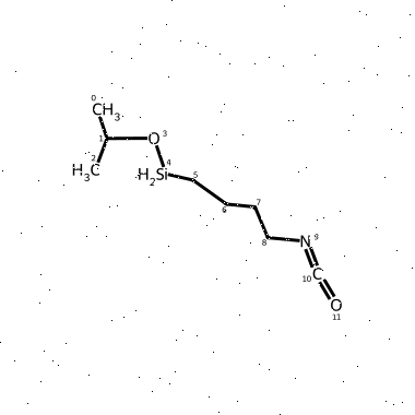 CC(C)O[SiH2]CCCCN=C=O